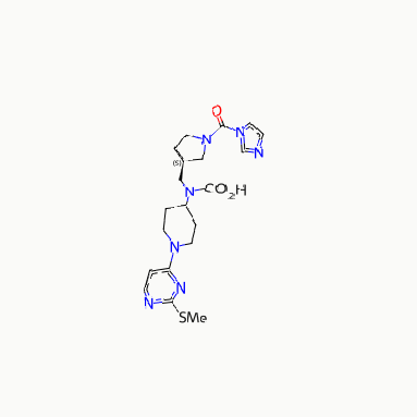 CSc1nccc(N2CCC(N(C[C@H]3CCN(C(=O)n4ccnc4)C3)C(=O)O)CC2)n1